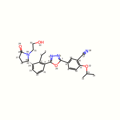 CCc1c(-c2nnc(-c3ccc(OC(C)C)c(C#N)c3)o2)cccc1[C@@H]1CCC(=O)N1CCO